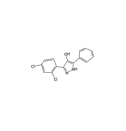 Oc1c(-c2ccc(Cl)cc2Cl)n[nH]c1-c1ccccc1